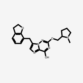 CN1CCCC1COc1nc(O)c2ncc(Cc3cccc4c3OCC4)n2n1